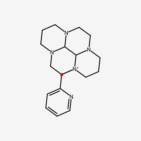 c1ccc(C[N+]23CCCN4CCN5CCCN(CC2)C5C43)nc1